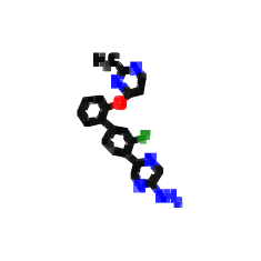 Cc1nccc(Oc2ccccc2-c2ccc(-c3cnc(N)cn3)c(F)c2)n1